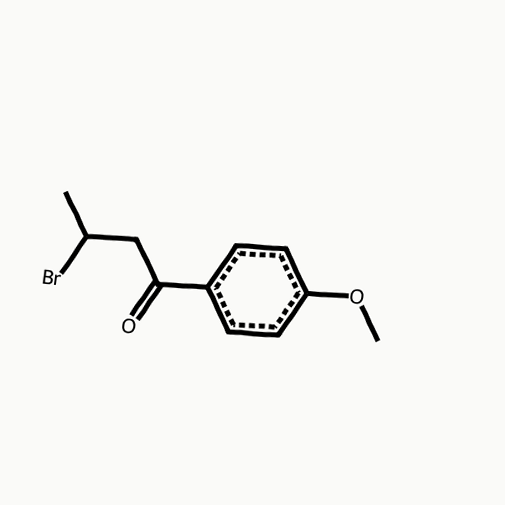 COc1ccc(C(=O)CC(C)Br)cc1